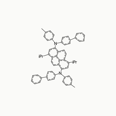 Cc1ccc(N(c2ccc(-c3ccccc3)cc2)c2cc(C(C)C)c3ccc4c(N(c5ccc(C)cc5)c5ccc(-c6ccccc6)cc5)cc(C(C)C)c5ccc2c3c54)cc1